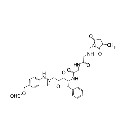 CC1CC(=O)N(CNCC(=O)NCC(=O)N[C@@H](Cc2ccccc2)C(=O)C(=O)CNNc2ccc(COC=O)cc2)C1=O